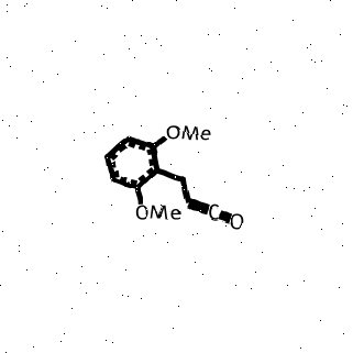 COc1cccc(OC)c1CC=C=O